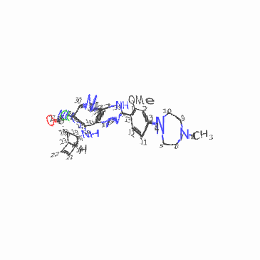 COc1cc(N2CCN(C)CC2)ccc1-c1nc2c(N[C@@H]3[C@H]4C=CC4[C@@H]3C(N)=O)c(Cl)cnc2[nH]1